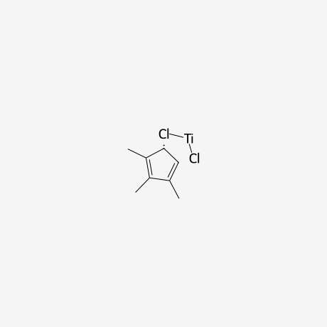 CC1=C[CH]C(C)=C1C.[Cl][Ti][Cl]